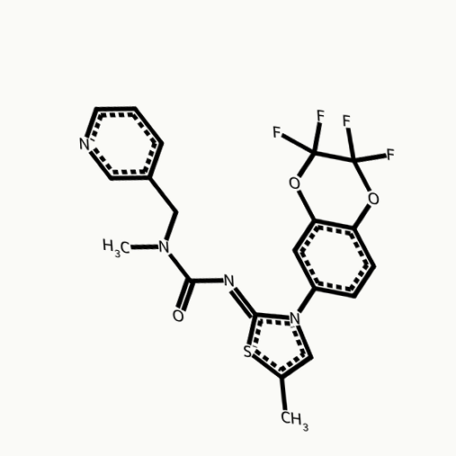 Cc1cn(-c2ccc3c(c2)OC(F)(F)C(F)(F)O3)/c(=N/C(=O)N(C)Cc2cccnc2)s1